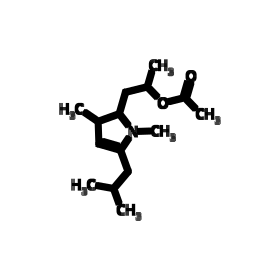 CC(=O)OC(C)CC1C(C)C=C(CC(C)C)N1C